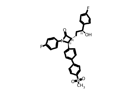 CS(=O)(=O)c1ccc(-c2ccc([C@@H]3[C@@H](CC[C@H](O)c4ccc(F)cc4)C(=O)N3c3ccc(F)cc3)cc2)cc1